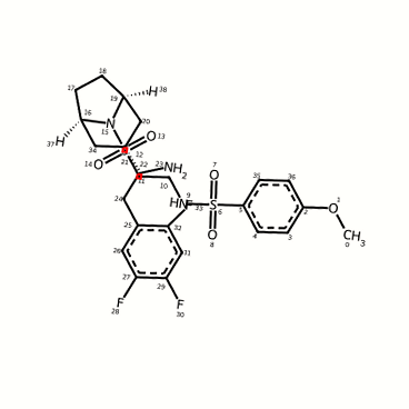 COc1ccc(S(=O)(=O)NCCS(=O)(=O)N2[C@@H]3CC[C@H]2C[C@H](C(N)Cc2cc(F)c(F)cc2F)C3)cc1